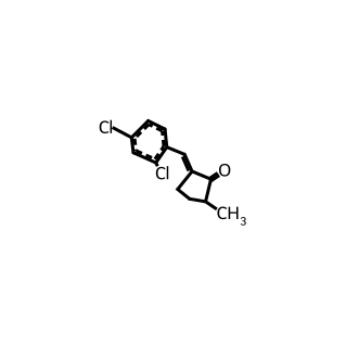 CC1CC/C(=C\c2ccc(Cl)cc2Cl)C1=O